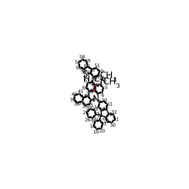 CC(C)(C)c1ccc(N(c2ccc3c(c2)C(c2ccccc2)(c2ccccc2)c2ccccc2-3)c2ccc3ccccc3c2-c2ccc(-c3cccc4c3sc3ccccc34)cc2)cc1